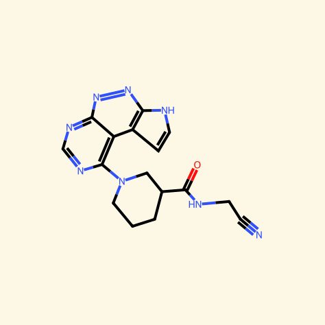 N#CCNC(=O)C1CCCN(c2ncnc3nnc4[nH]ccc4c23)C1